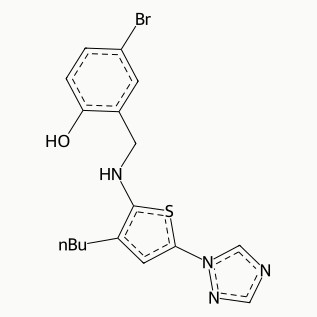 CCCCc1cc(-n2cncn2)sc1NCc1cc(Br)ccc1O